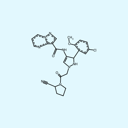 COc1ccc(Cl)cc1C1NN(CC(=O)N2CCCC2C#N)C=C1NC(=O)c1cnn2cccnc12